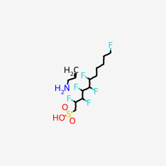 C=CCN.O=S(=O)(O)CC(F)C(F)C(F)C(F)C(F)CCCCCF